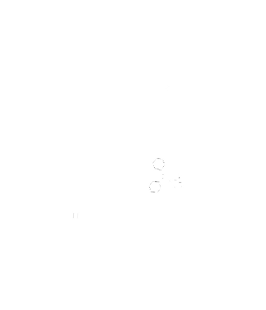 CCCCCCCCCCCCc1ccc([I+]c2ccc(CCCCCCCCCCCC)cc2)cc1.O=S(=O)([O-])C(F)(F)F